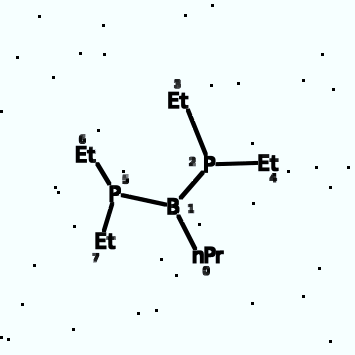 CCCB(P(CC)CC)P(CC)CC